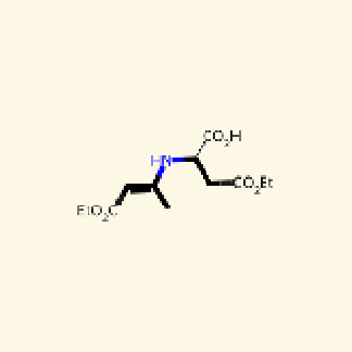 CCOC(=O)/C=C(\C)N[C@@H](CC(=O)OCC)C(=O)O